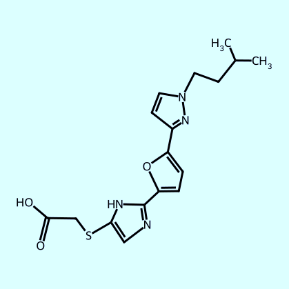 CC(C)CCn1ccc(-c2ccc(-c3ncc(SCC(=O)O)[nH]3)o2)n1